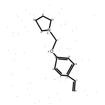 C=Cc1ccc(OCN2CCCC2)cc1